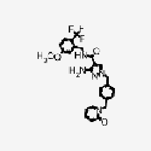 COc1ccc(C(F)(F)F)c(CNC(=O)c2cn(Cc3ccc(Cn4ccccc4=O)cc3)nc2N)c1